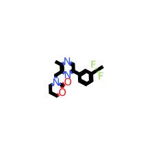 Cc1ncc(-c2cccc(C(C)(F)F)c2)nc1CN1CCCOC1=O